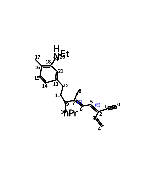 C#C/C(C=C)=C/C=C(\C)C(CCC)CCc1ccc(C)c(NCC)c1